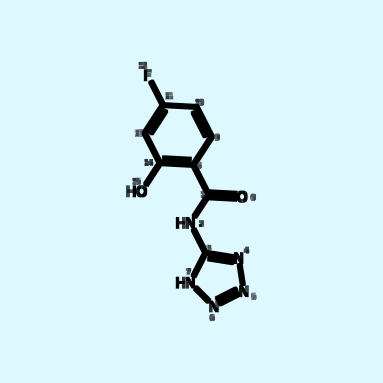 O=C(Nc1nnn[nH]1)c1ccc(F)cc1O